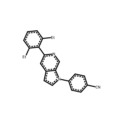 CCc1cccc(CC)c1-c1cc2ccn(-c3ccc(C#N)cc3)c2cn1